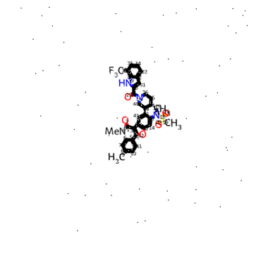 CNC(=O)c1c(-c2ccc(C)cc2)oc2cc(N(C)S(C)(=O)=O)c([C@@H]3CCCN(C(=O)c4cc5cccc(C(F)(F)F)c5[nH]4)C3)cc12